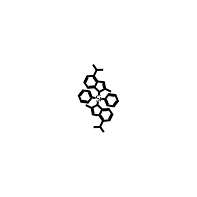 CC1=Cc2c(C(C)C)cccc2C1[Si](c1ccccc1)(c1ccccc1)C1C(C)=Cc2c(C(C)C)cccc21